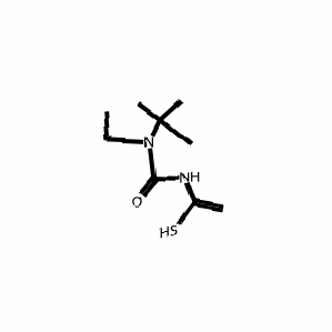 C=C(S)NC(=O)N(CC)C(C)(C)C